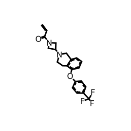 C=CC(=O)N1CC(N2CCc3c(cccc3Oc3ccc(C(F)(F)F)cc3)C2)C1